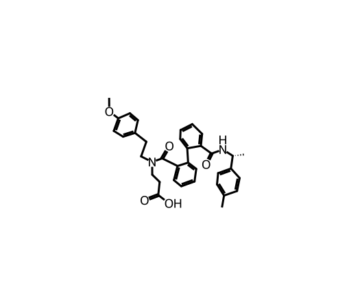 COc1ccc(CCN(CCC(=O)O)C(=O)c2ccccc2-c2ccccc2C(=O)N[C@H](C)c2ccc(C)cc2)cc1